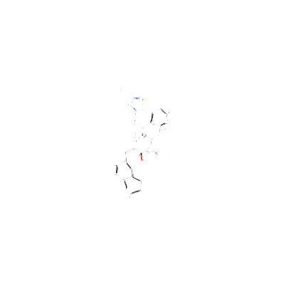 CN[C@H](Cc1ccc2ccccc2c1)C(=O)N(C)[C@@H](COCc1nc(C)no1)Cc1ccccc1